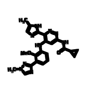 COc1c(Nc2cc(NC(=O)C3CC3)nnc2-c2ncc(C)[nH]2)cccc1-c1ncn(C)n1